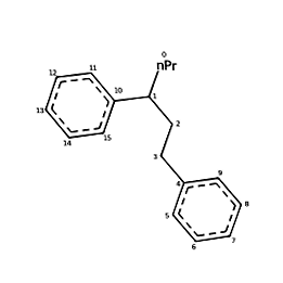 [CH2]CCC(CCc1ccccc1)c1ccccc1